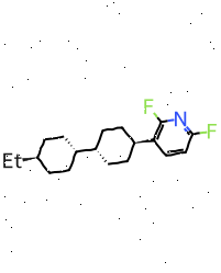 CC[C@H]1CC[C@H]([C@H]2CC[C@H](c3ccc(F)nc3F)CC2)CC1